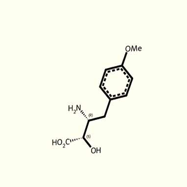 COc1ccc(C[C@@H](N)[C@H](O)C(=O)O)cc1